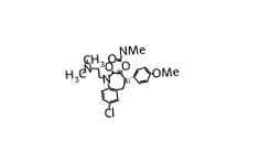 CNC(=O)O[C@H]1C(=O)N(CCN(C)C)c2ccc(Cl)cc2C[C@H]1c1ccc(OC)cc1